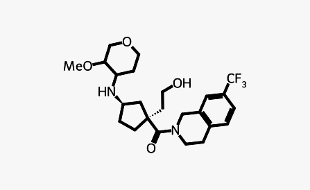 COC1COCCC1N[C@@H]1CC[C@](CCO)(C(=O)N2CCc3ccc(C(F)(F)F)cc3C2)C1